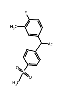 CC(=O)C(c1ccc(S(C)(=O)=O)cc1)c1ccc(F)c(C)c1